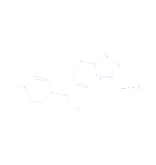 CC(C)c1nnc2ccc(C(O)c3ccc(F)cc3)cn12